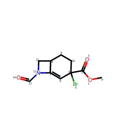 COC(=O)C1(Br)C=C2C(CC1)CN2C=O